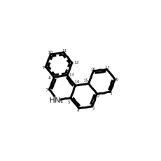 C1=CC2=CC=C3NC=c4ccccc4=C3C2C=C1